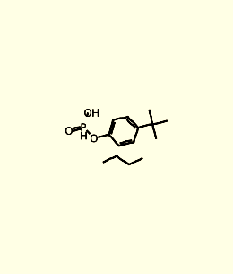 CC(C)(C)c1ccc(O[PH](=O)O)cc1.CCCC